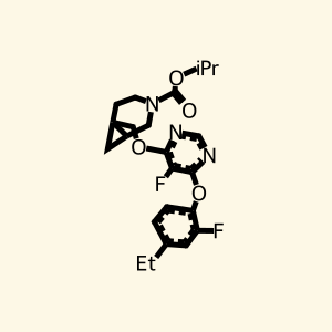 CCc1ccc(Oc2ncnc(OCC34CCN(C(=O)OC(C)C)CC3C4)c2F)c(F)c1